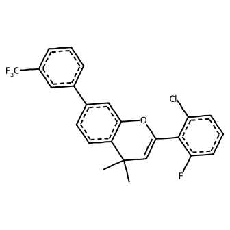 CC1(C)C=C(c2c(F)cccc2Cl)Oc2cc(-c3cccc(C(F)(F)F)c3)ccc21